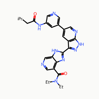 CCN(CC)C(=O)c1cncc2[nH]c(-c3n[nH]c4ncc(-c5cncc(NC(=O)CC(C)C)c5)cc34)nc12